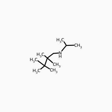 CC(C)NCC(C)(C)C(C)(C)C